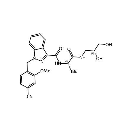 COc1cc(C#N)ccc1Cn1nc(C(=O)N[C@H](C(=O)NC[C@@H](O)CO)C(C)(C)C)c2ccccc21